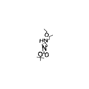 CCOC(C)CNC1CN(C(=O)OC(C)(C)C)C1